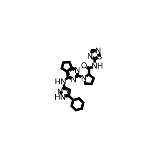 O=C(Nc1ncns1)C1CCCN1c1nc2c(c(Nc3cc(C4CCCCC4)[nH]n3)n1)CCC2